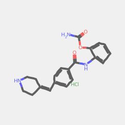 Cl.NC(=O)Oc1ccccc1NC(=O)c1ccc(C=C2CCNCC2)cc1